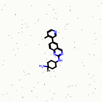 Cc1ccncc1-c1ccc2nc(NC3CCC(N)(C(C)C)CC3)ncc2c1